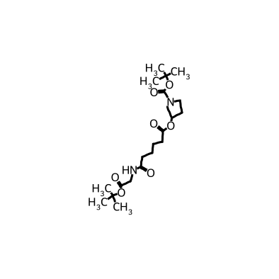 CC(C)(C)OC(=O)CNC(=O)CCCCC(=O)OC1CCN(C(=O)OC(C)(C)C)C1